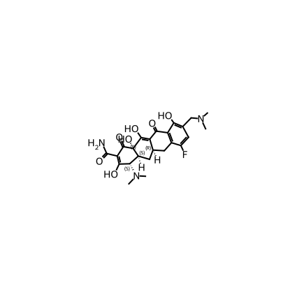 CN(C)Cc1cc(F)c2c(c1O)C(=O)C1=C(O)[C@]3(O)C(=O)C(C(N)=O)=C(O)[C@@H](N(C)C)[C@@H]3C[C@@H]1C2